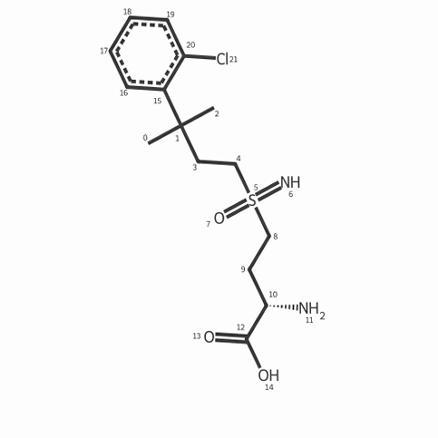 CC(C)(CCS(=N)(=O)CC[C@H](N)C(=O)O)c1ccccc1Cl